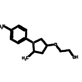 CC1CC(OCCO)CN1c1ccc(N)cc1